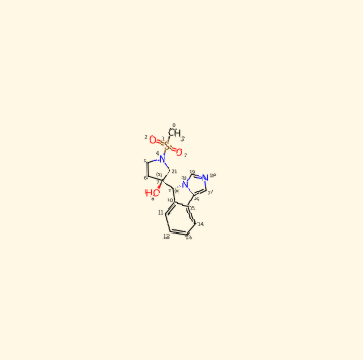 CS(=O)(=O)N1CC[C@@](O)([C@H]2c3ccccc3-c3cncn32)C1